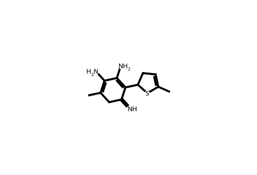 CC1=CCC(C2=C(N)C(N)=C(C)CC2=N)S1